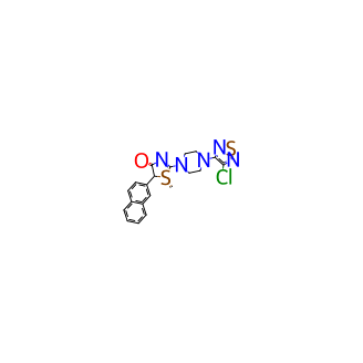 C=S1C(N2CCN(c3nsnc3Cl)CC2)=NC(=O)C1c1ccc2ccccc2c1